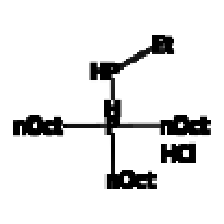 CCCCCCCC[PH](CCCCCCCC)(CCCCCCCC)PCC.Cl